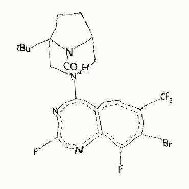 CC(C)(C)C12CCC(CN(c3nc(F)nc4c(F)c(Br)c(C(F)(F)F)cc34)C1)N2C(=O)O